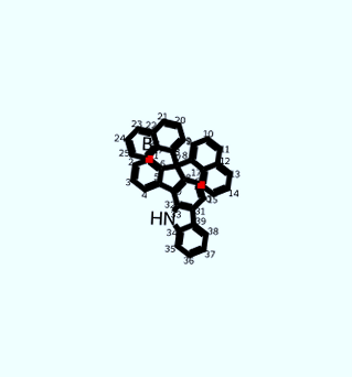 Brc1cccc2c1C(c1cccc3ccccc13)(c1cccc3ccccc13)c1ccc3c([nH]c4ccccc43)c1-2